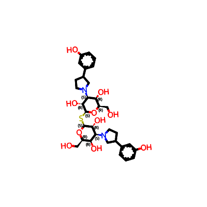 OC[C@H]1O[C@@H](S[C@@H]2O[C@H](CO)[C@H](O)[C@H](N3CCC(c4cccc(O)c4)C3)[C@H]2O)[C@H](O)[C@@H](N2CCC(c3cccc(O)c3)C2)[C@H]1O